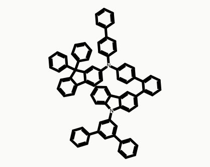 c1ccc(-c2ccc(N(c3ccc(-c4ccccc4-c4ccc5c(c4)c4ccccc4n5-c4cc(-c5ccccc5)cc(-c5ccccc5)c4)cc3)c3ccc4c(c3)C(c3ccccc3)(c3ccccc3)c3ccccc3-4)cc2)cc1